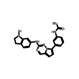 CC(=O)N1CCc2ccc(Nc3ncc4ccc(-c5cccc(NC(=O)C(C)(C)C)c5)n4n3)cc21